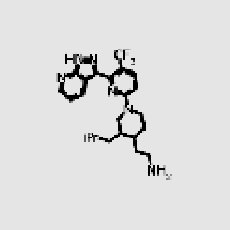 CC(C)CC1CN(c2ccc(C(F)(F)F)c(-c3n[nH]c4ncccc34)n2)CCC1CCN